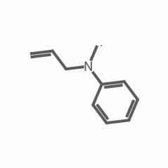 [CH2]N(CC=C)c1ccccc1